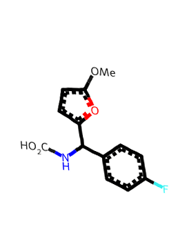 COc1ccc(C(NC(=O)O)c2ccc(F)cc2)o1